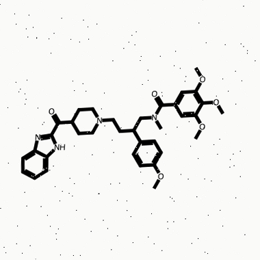 COc1ccc(C(CCN2CCC(C(=O)c3nc4ccccc4[nH]3)CC2)CN(C)C(=O)c2cc(OC)c(OC)c(OC)c2)cc1